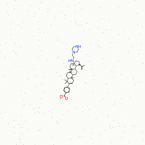 C=C(C)[C@@H]1CC[C@]2(NCCN3CCNCC3)CC[C@]3(C)C(CCC4[C@@]5(C)CC=C(c6ccc(C(=O)OC)cc6)C(C)(C)C5CC[C@]43C)C12